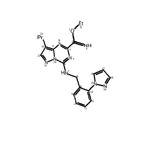 CCOC(=N)c1nc(NCc2ccccc2-n2cccn2)n2ncc(C(C)C)c2n1